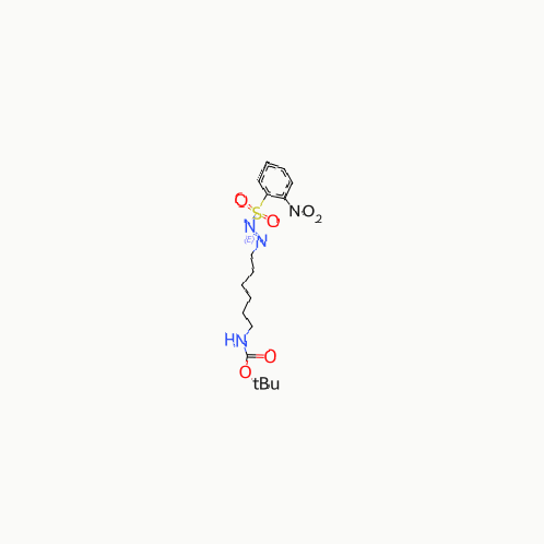 CC(C)(C)OC(=O)NCCCCCC/N=N/S(=O)(=O)c1ccccc1[N+](=O)[O-]